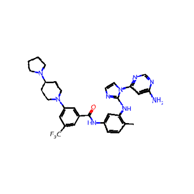 Cc1ccc(NC(=O)c2cc(N3CCC(N4CCCC4)CC3)cc(C(F)(F)F)c2)cc1Nc1nccn1-c1cc(N)ncn1